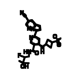 CC(C)(O)C(F)CNC(=O)c1cnc(-c2ccc3cc(C#N)cnn23)cc1NC1CC(S(C)(=O)=O)C1